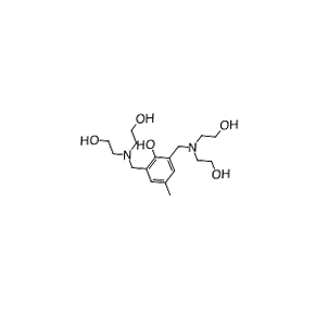 Cc1cc(CN(CCO)CCO)c(O)c(CN(CCO)CCO)c1